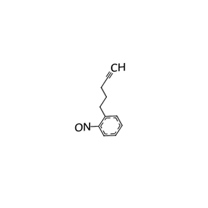 C#CCCCc1ccccc1N=O